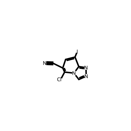 N#Cc1cc(I)c2nncn2c1Cl